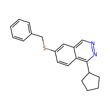 c1ccc(CSc2ccc3c(C4CCCC4)nncc3c2)cc1